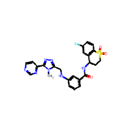 Cn1c(CNc2cccc(C(=O)NC3CCS(=O)(=O)c4ccc(F)cc43)c2)nnc1-c1ccncn1